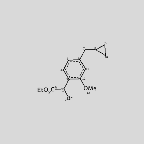 CCOC(=O)C(Br)c1ccc(CC2CC2)cc1OC